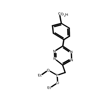 CCOP(Cc1nnc(-c2ccc(C(=O)O)cc2)nn1)OCC